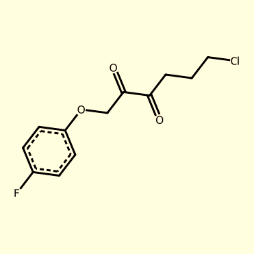 O=C(CCCCl)C(=O)COc1ccc(F)cc1